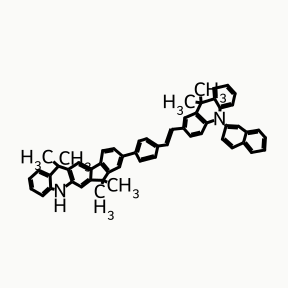 CC1(C)c2ccccc2Nc2cc3c(cc21)-c1ccc(-c2ccc(/C=C/c4ccc5c(c4)C(C)(C)c4ccccc4N5c4ccc5ccccc5c4)cc2)cc1C3(C)C